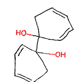 OC1(C2(O)C=CC=CC2)C=CC=CC1